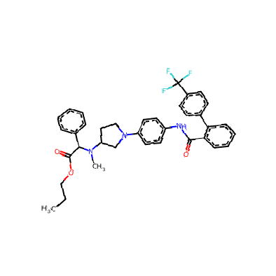 CCCOC(=O)C(c1ccccc1)N(C)C1CCN(c2ccc(NC(=O)c3ccccc3-c3ccc(C(F)(F)F)cc3)cc2)C1